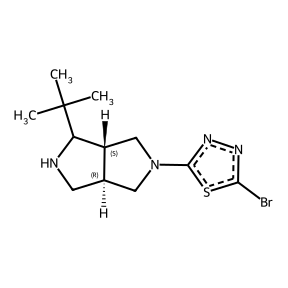 CC(C)(C)C1NC[C@@H]2CN(c3nnc(Br)s3)C[C@@H]12